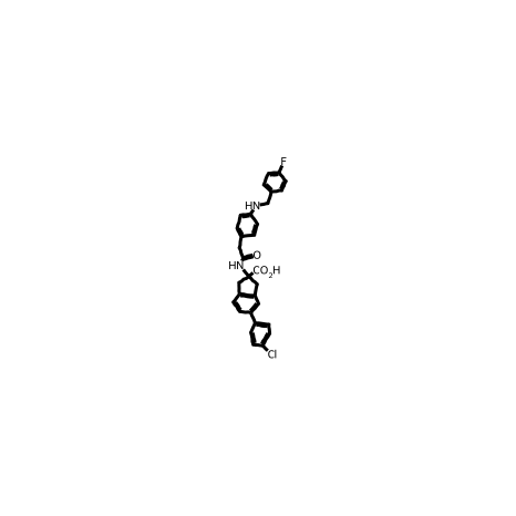 O=C(Cc1ccc(NCc2ccc(F)cc2)cc1)NC1(C(=O)O)Cc2ccc(-c3ccc(Cl)cc3)cc2C1